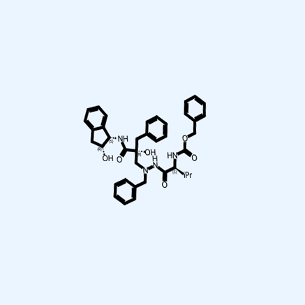 CC(C)[C@H](NC(=O)OCc1ccccc1)C(=O)NN(Cc1ccccc1)C[C@](O)(Cc1ccccc1)C(=O)N[C@H]1c2ccccc2C[C@H]1O